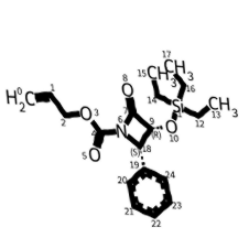 C=CCOC(=O)N1C(=O)[C@H](O[Si](CC)(CC)CC)[C@@H]1c1ccccc1